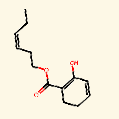 CC/C=C\CCOC(=O)C1=C(O)C=CC[CH]1